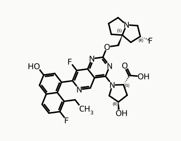 CCc1c(F)ccc2cc(O)cc(-c3ncc4c(N5C[C@H](O)C[C@H]5C(=O)O)nc(OC[C@@]56CCCN5C[C@H](F)C6)nc4c3F)c12